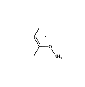 CC(C)=C(C)ON